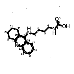 O=C(O)NCCCCNc1c2c(nc3ccccc13)CCCC2